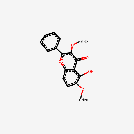 CCCCCCOc1ccc2oc(-c3ccccc3)c(OCCCCCC)c(=O)c2c1O